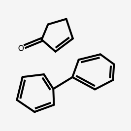 O=C1C=CCC1.c1ccc(-c2ccccc2)cc1